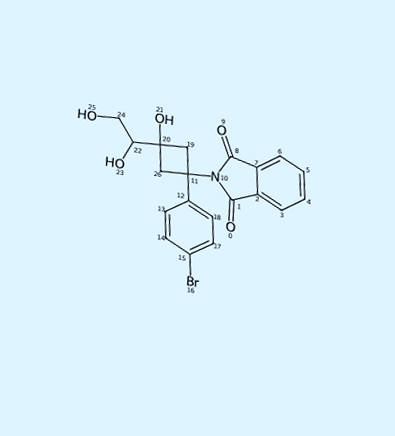 O=C1c2ccccc2C(=O)N1C1(c2ccc(Br)cc2)CC(O)(C(O)CO)C1